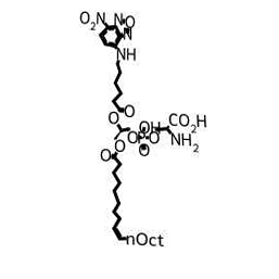 CCCCCCCC/C=C\CCCCCCCC(=O)OC[C@H](COP(=O)(O)OC[C@H](N)C(=O)O)OC(=O)CCCCCNc1ccc([N+](=O)[O-])c2nonc12